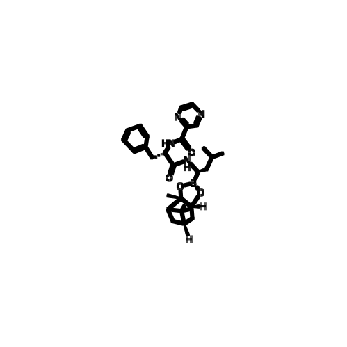 CC(C)C[C@H](NC(=O)[C@H](Cc1ccccc1)NC(=O)c1cnccn1)B1O[C@@H]2C[C@@H]3CC(C3(C)C)[C@]2(C)O1